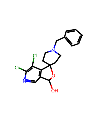 OC1OC2(CCN(Cc3ccccc3)CC2)c2c1cnc(Cl)c2Cl